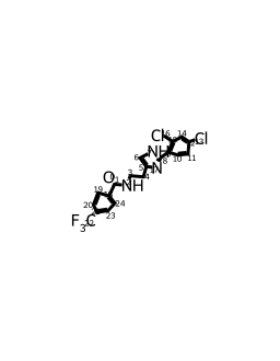 O=C(NCCc1c[nH]c(-c2ccc(Cl)cc2Cl)n1)c1ccc(C(F)(F)F)cc1